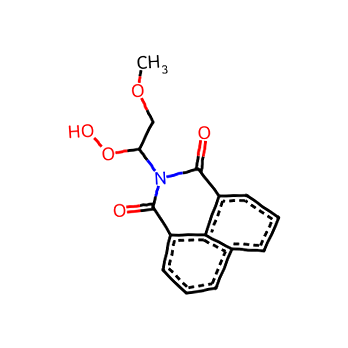 COCC(OO)N1C(=O)c2cccc3cccc(c23)C1=O